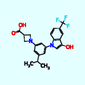 CC(C)c1cc(N2CC(C(=O)O)C2)cc(-n2cc(O)c3cc(C(F)(F)F)ccc32)c1